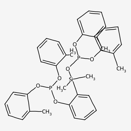 Cc1ccccc1OP(Oc1ccccc1C)Oc1ccccc1[Si](C)(C)OP(Oc1ccccc1C)Oc1ccccc1C